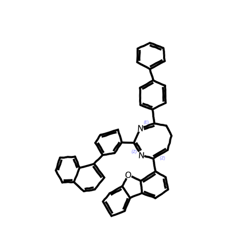 C1=C(c2cccc3c2oc2ccccc23)/N=C(c2cccc(-c3cccc4ccccc34)c2)\N=C(\c2ccc(-c3ccccc3)cc2)CC\1